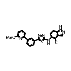 COc1cccc(-c2cccc(-c3nnc(Nc4ccc5[nH]ncc5c4Cl)s3)c2)n1